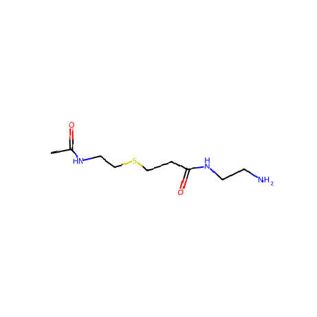 CC(=O)NCCSCCC(=O)NCCN